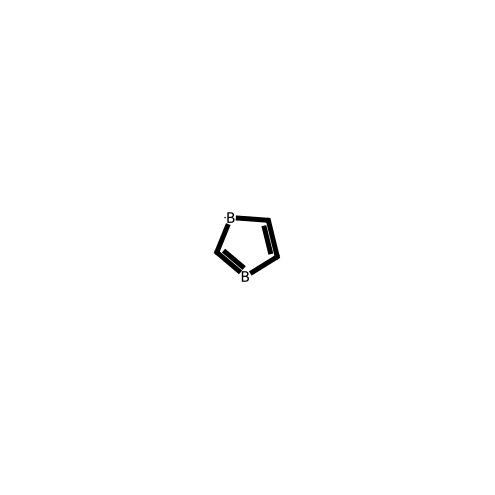 [B]1C=BC=C1